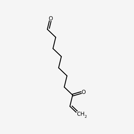 C=CC(=O)CCCCCCC=O